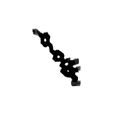 CCCC1CCC(CCC2CCC(C3Cc4ccc(CO)c(F)c4C(=O)O3)CC2)CC1